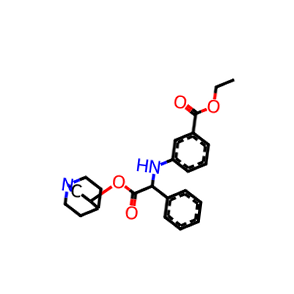 CCOC(=O)c1cccc(NC(C(=O)OC2CN3CCC2CC3)c2ccccc2)c1